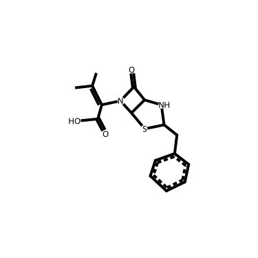 CC(C)=C(C(=O)O)N1C(=O)C2NC(Cc3ccccc3)SC21